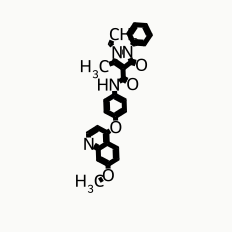 CCn1c(C)c(C(=O)Nc2ccc(Oc3ccnc4cc(OC)ccc34)cc2)c(=O)n1-c1ccccc1